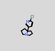 Clc1ccc(C23CCCN2CCC3)cn1